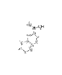 OB(O)c1ccc2c(c1)OCCN2